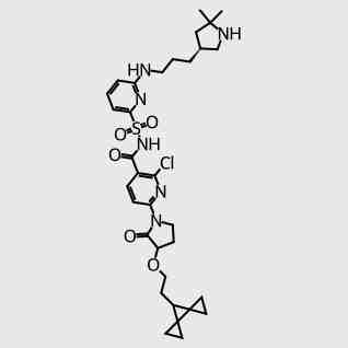 CC1(C)C[C@H](CCCNc2cccc(S(=O)(=O)NC(=O)c3ccc(N4CCC(OCCC5C6(CC6)C56CC6)C4=O)nc3Cl)n2)CN1